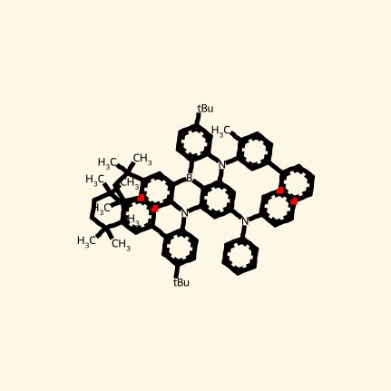 Cc1ccc(-c2ccccc2)cc1N1c2cc(C(C)(C)C)ccc2B2c3cc4c(cc3N(c3ccc(C(C)(C)C)cc3-c3ccc5c(c3)C(C)(C)CCC5(C)C)c3cc(N(c5ccccc5)c5ccccc5)cc1c32)C(C)(C)CC4(C)C